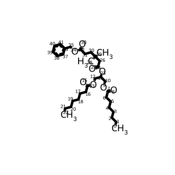 CCCCCCCC(=O)OCC(COC(=O)CCCCCCC)OC(=O)CC(C)(C)CCC(=O)OCc1ccccc1